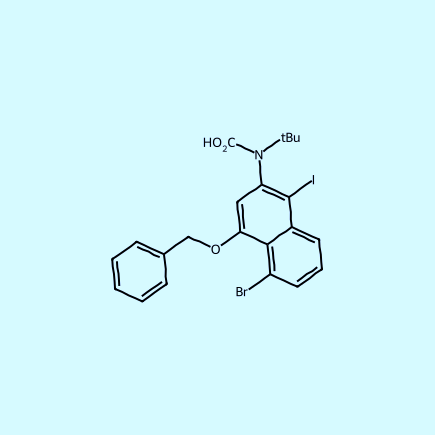 CC(C)(C)N(C(=O)O)c1cc(OCc2ccccc2)c2c(Br)cccc2c1I